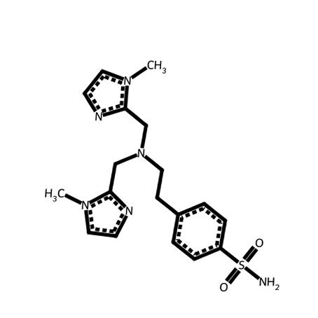 Cn1ccnc1CN(CCc1ccc(S(N)(=O)=O)cc1)Cc1nccn1C